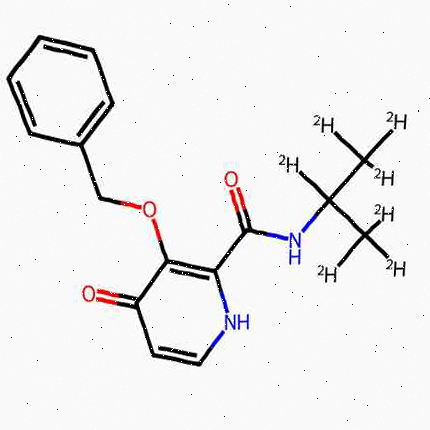 [2H]C([2H])([2H])C([2H])(NC(=O)c1[nH]ccc(=O)c1OCc1ccccc1)C([2H])([2H])[2H]